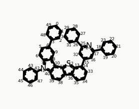 c1ccc(-c2ccc3c(c2)c2c4sc5c(-c6cc(-c7ccccc7)nc(-c7ccccc7)c6)cccc5c4ccc2n3-c2ccccc2)cc1